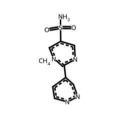 C.NS(=O)(=O)c1cnc(-c2ccnnc2)nc1